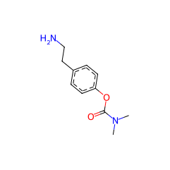 CN(C)C(=O)Oc1ccc(CCN)cc1